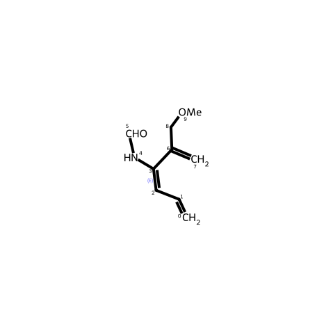 C=C/C=C(/NC=O)C(=C)COC